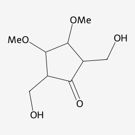 COC1C(CO)C(=O)C(CO)C1OC